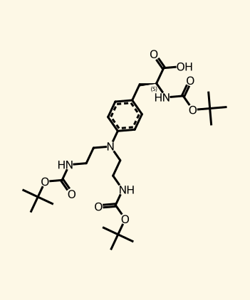 CC(C)(C)OC(=O)NCCN(CCNC(=O)OC(C)(C)C)c1ccc(C[C@H](NC(=O)OC(C)(C)C)C(=O)O)cc1